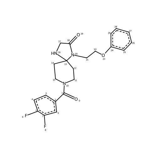 O=C(c1ccc(F)c(F)c1)N1CCC2(CC1)NCC(=O)N2CCOc1ccccc1